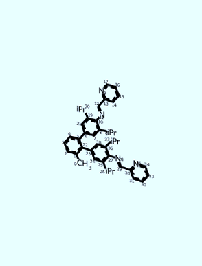 Cc1cccc(-c2cc(C(C)C)c(/N=C/c3ccccn3)c(C(C)C)c2)c1-c1cc(C(C)C)c(/N=C/c2ccccn2)c(C(C)C)c1